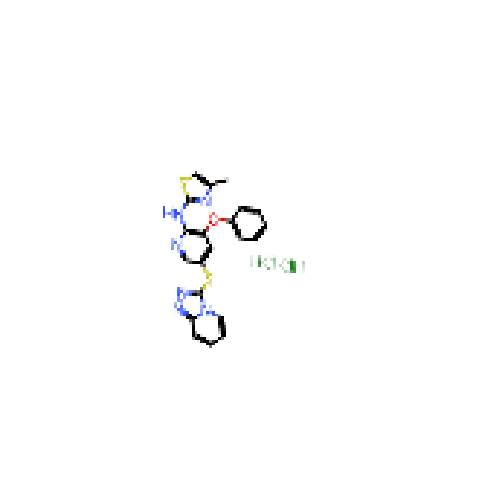 Cc1csc(Nc2ncc(Sc3nnc4ccccn34)cc2Oc2ccccc2)n1.Cl.Cl